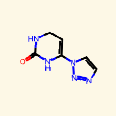 O=C1NCC=C(n2ccnn2)N1